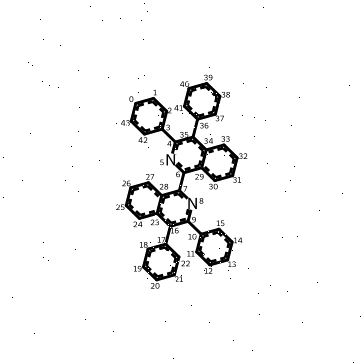 c1ccc(-c2nc(-c3nc(-c4ccccc4)c(-c4ccccc4)c4ccccc34)c3ccccc3c2-c2ccccc2)cc1